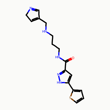 O=C(NCCCNCC1=CCN=C1)c1cc(-c2cccs2)[nH]n1